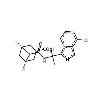 CC(C)(NC(=O)[C@H]1[C@@H]2C[C@H]1CN(C(=O)O)C2)c1ncc2c(Cl)cccn12